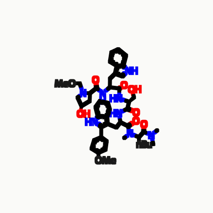 CCCCC(C(=O)N(C)C)N(C)C(=O)C(Cc1c(-c2ccc(OC)cc2)[nH]c2ccccc12)NC(=O)[C@H](CO)NC(=O)C(Cc1c[nH]c2ccccc12)NC(=O)C1C[C@@H](O)CN1COC